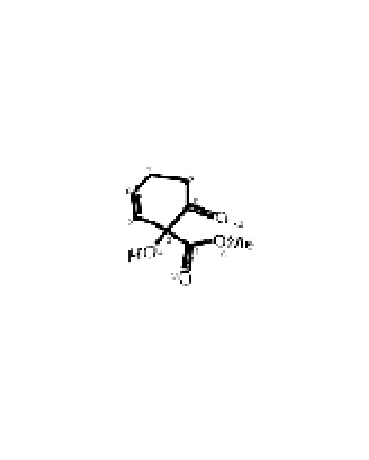 COC(=O)C1(O)C=CCCC1=O